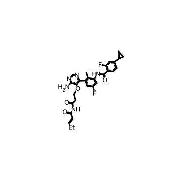 CCC=CC(=O)NC(=O)CCOc1c(N)ncnc1-c1cc(F)cc(NC(=O)c2ccc(C3CC3)cc2F)c1C